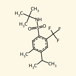 Cc1cc(S(=O)(=O)NC(C)(C)C)c(C(F)(F)F)cc1C(C)C